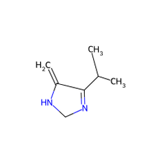 C=C1NCN=C1C(C)C